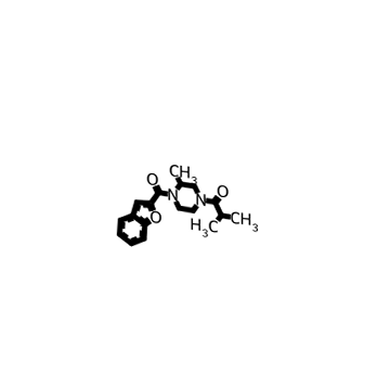 CC(C)C(=O)N1CCN(C(=O)c2cc3ccccc3o2)C(C)C1